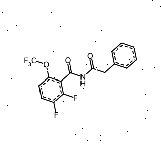 O=C(Cc1ccccc1)NC(=O)c1c(OC(F)(F)F)ccc(F)c1F